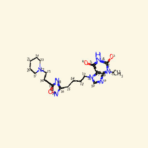 Cn1c(=O)[nH]c(=O)c2c1ncn2CCCCc1noc(CCN2CCCCC2)n1